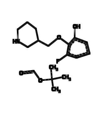 CC(C)(C)OC=O.Oc1cccc(F)c1OCC1CCCNC1